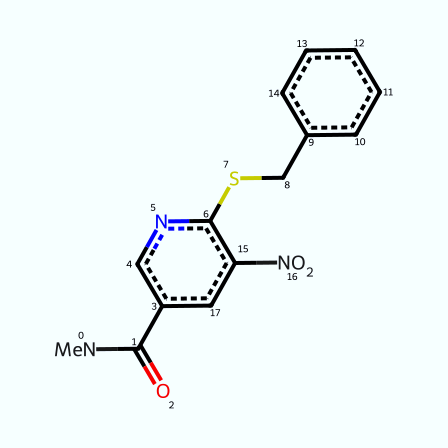 CNC(=O)c1cnc(SCc2ccccc2)c([N+](=O)[O-])c1